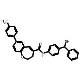 Cc1ccc(-c2ccc3c(c2)C=C(C(=O)Nc2ccc(C(S)c4ccccc4)cc2)CCO3)cc1